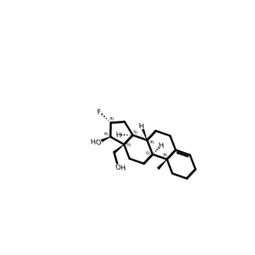 C[C@]12CCCC=C1CC[C@H]1[C@@H]3C[C@@H](F)[C@H](O)[C@@]3(CO)CC[C@@H]12